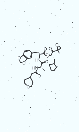 C[C@H](NC(=O)CC1CCOCC1)C(=O)N[C@@H](Cc1ccc2c(c1)OCO2)C(=O)N[C@@H](CC1CCCC1)C(=O)[C@@]1(C)CO1